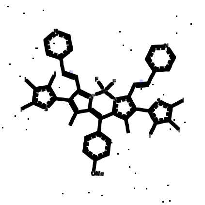 COc1ccc(C2=C3C(C)=C(c4sc(I)c(I)c4I)C(/C=C/c4ccncc4)=[N+]3[B-](F)(F)n3c(/C=C/c4ccncc4)c(-c4sc(I)c(I)c4I)c(C)c32)cc1